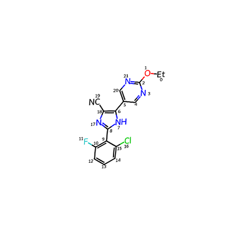 CCOc1ncc(-c2[nH]c(-c3c(F)cccc3Cl)nc2C#N)cn1